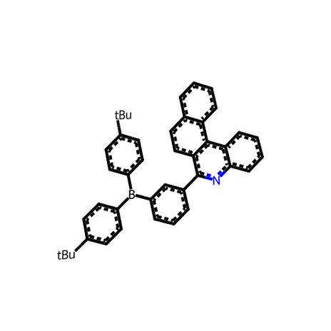 CC(C)(C)c1ccc(B(c2ccc(C(C)(C)C)cc2)c2cccc(-c3nc4ccccc4c4c3ccc3ccccc34)c2)cc1